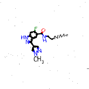 CNCCNC(=O)c1cc2c(-c3cnn(C)c3)n[nH]c2cc1F